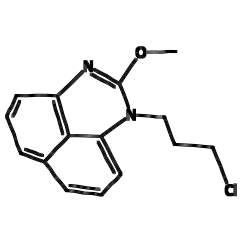 COC1=Nc2cccc3cccc(c23)N1CCCCl